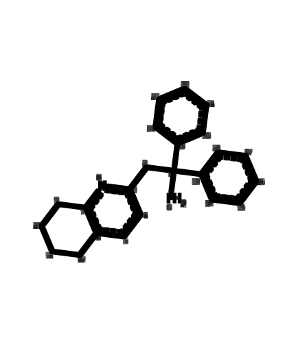 PC(Cc1ccc2c(n1)CCCC2)(c1ccccc1)c1ccccc1